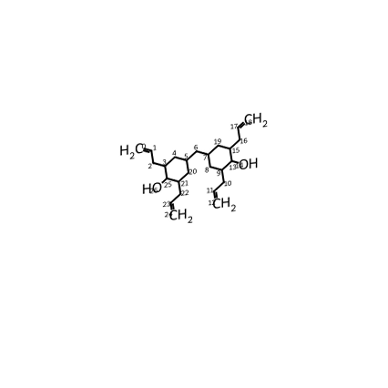 C=CCC1CC(CC2CC(CC=C)C(O)C(CC=C)C2)CC(CC=C)C1O